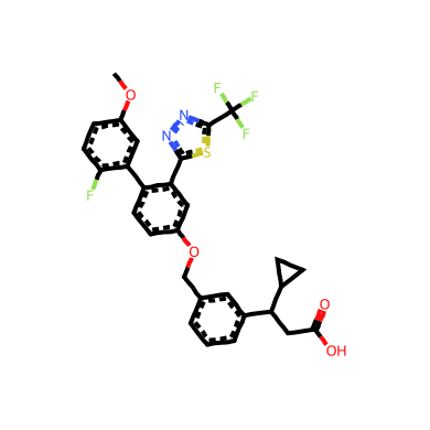 COc1ccc(F)c(-c2ccc(OCc3cccc(C(CC(=O)O)C4CC4)c3)cc2-c2nnc(C(F)(F)F)s2)c1